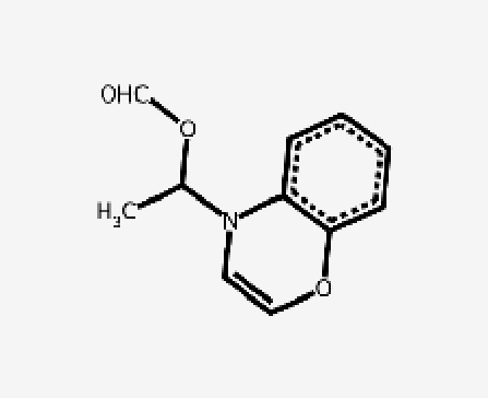 CC(OC=O)N1C=COc2ccccc21